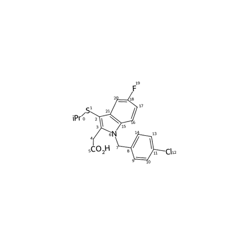 CC(C)Sc1c(CC(=O)O)n(Cc2ccc(Cl)cc2)c2ccc(F)cc12